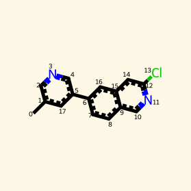 Cc1cncc(-c2ccc3cnc(Cl)cc3c2)c1